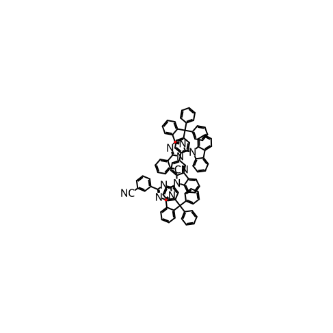 N#Cc1cccc(-c2nc(-c3ccccc3C(c3ccccc3)(c3ccccc3)c3ccccc3)nc(-n3c4ccccc4c4cc(-c5ccc(C(c6ccccc6)(c6ccccc6)c6ccccc6-c6nc(-c7ccccc7C#N)nc(-n7c8ccccc8c8ccccc87)n6)cc5)ccc43)n2)c1